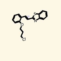 ClCCCOc1ccccc1/C=C/c1nc2ccccc2s1